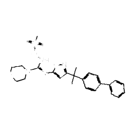 CC(C)(c1ccc(-c2ccccc2)cc1)c1cc(N=C(NOS(C)(=O)=O)N2CCOCC2)on1